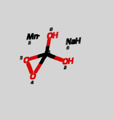 OC1(O)OO1.[Mn].[NaH]